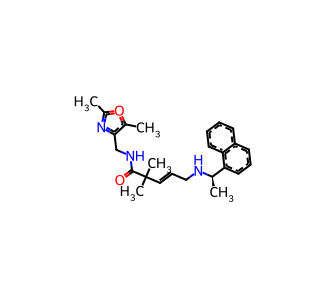 Cc1nc(CNC(=O)C(C)(C)/C=C/CN[C@H](C)c2cccc3ccccc23)c(C)o1